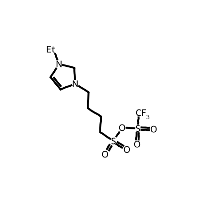 CCN1C=CN(CCCCS(=O)(=O)OS(=O)(=O)C(F)(F)F)C1